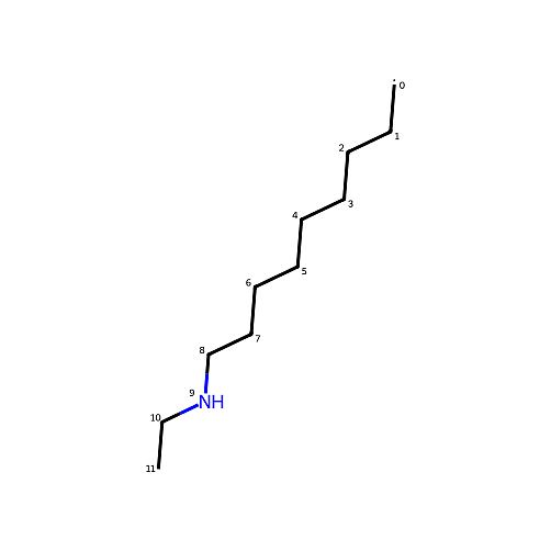 [CH2]CCCCCCCCNCC